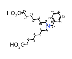 O=C(O)CCCCCCCN(CCCCCCCC(=O)O)Cc1ccccc1